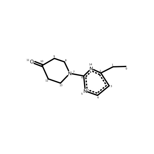 CCc1ccnc(N2CCC(=O)CC2)n1